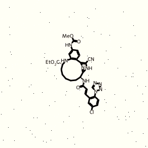 CCOC(=O)[C@H]1CCCCC[C@H](NC(=O)/C=C/c2cc(Cl)ccc2-n2cnnn2)c2nc(c(C#N)[nH]2)-c2ccc(NC(=O)OC)cc2N1